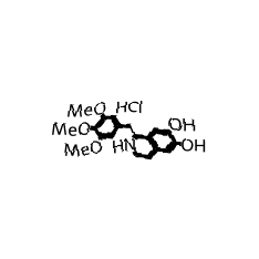 COc1cc(C[C@@H]2NCCc3cc(O)c(O)cc32)cc(OC)c1OC.Cl